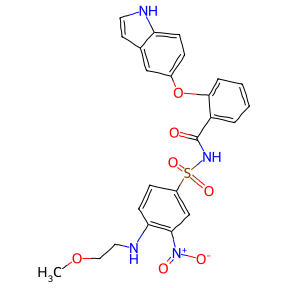 COCCNc1ccc(S(=O)(=O)NC(=O)c2ccccc2Oc2ccc3[nH]ccc3c2)cc1[N+](=O)[O-]